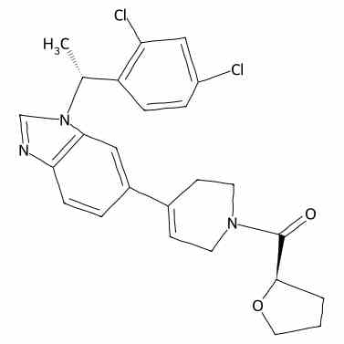 C[C@H](c1ccc(Cl)cc1Cl)n1cnc2ccc(C3=CCN(C(=O)[C@H]4CCCO4)CC3)cc21